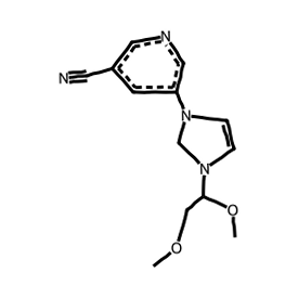 COCC(OC)N1C=CN(c2cncc(C#N)c2)C1